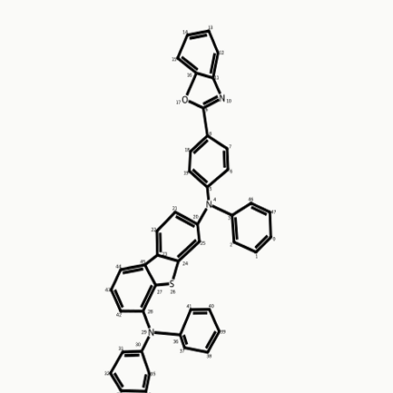 c1ccc(N(c2ccc(-c3nc4ccccc4o3)cc2)c2ccc3c(c2)sc2c(N(c4ccccc4)c4ccccc4)cccc23)cc1